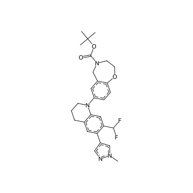 Cn1cc(-c2cc3c(cc2C(F)F)N(c2ccc4c(c2)CN(C(=O)OC(C)(C)C)CCO4)CCC3)cn1